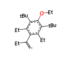 [C]=C(CC)c1c(CC)c(C(C)(C)C)c(OCC)c(C(C)(C)C)c1CC